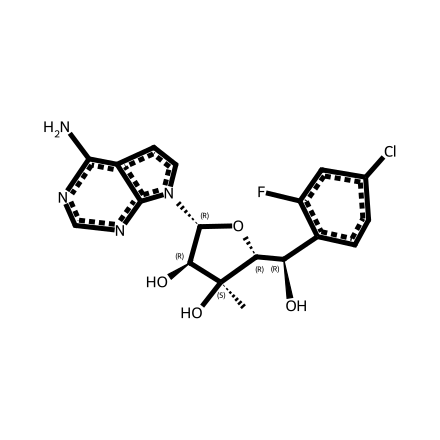 C[C@@]1(O)[C@@H]([C@H](O)c2ccc(Cl)cc2F)O[C@@H](n2ccc3c(N)ncnc32)[C@@H]1O